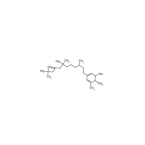 CCCCCC(C)(O)CCCC(C)(O)CCCC(C)CCC1=CC(O)C(C)C(C)=C1